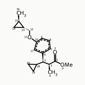 COC(=O)[C@@H](C)[C@H](c1cccc(OC[C@@H]2C[C@H]2C)c1)C1CC1